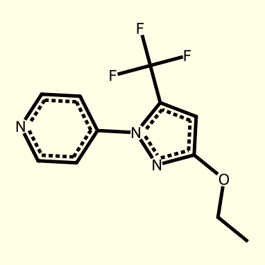 CCOc1cc(C(F)(F)F)n(-c2ccncc2)n1